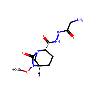 NCC(=O)NNC(=O)[C@@H]1CC[C@@H]2CN1C(=O)N2OS(=O)(=O)O